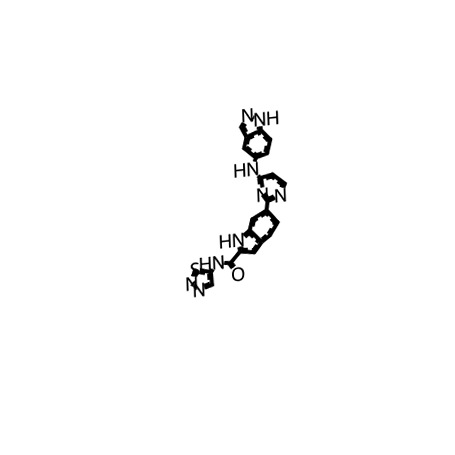 O=C(Nc1cnns1)c1cc2ccc(-c3nccc(Nc4ccc5[nH]ncc5c4)n3)cc2[nH]1